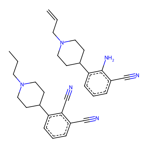 C=CCN1CCC(c2cccc(C#N)c2N)CC1.CCCN1CCC(c2cccc(C#N)c2C#N)CC1